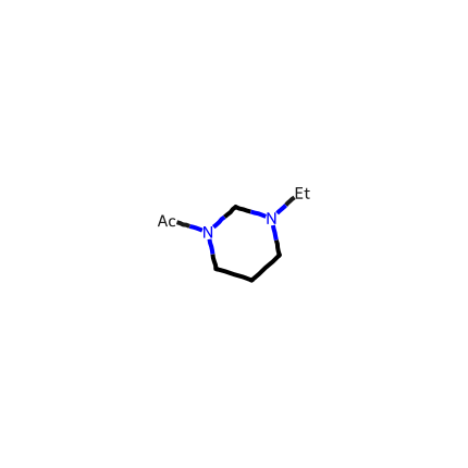 CCN1CCCN(C(C)=O)C1